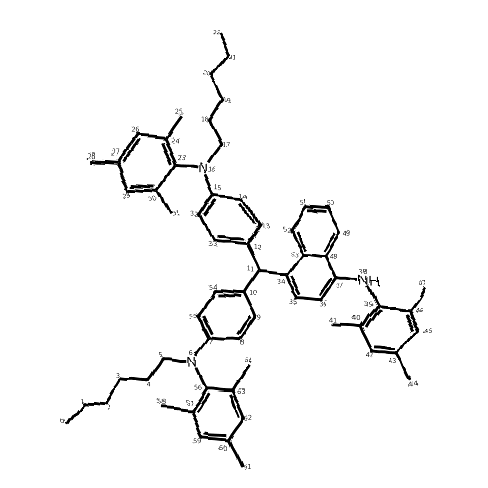 CCCCCCN(c1ccc(C(c2ccc(N(CCCCCC)c3c(C)cc(C)cc3C)cc2)c2ccc(Nc3c(C)cc(C)cc3C)c3ccccc23)cc1)c1c(C)cc(C)cc1C